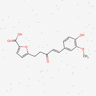 COc1cc(/C=C/C(=O)CCc2ccc(C(=O)O)o2)ccc1O